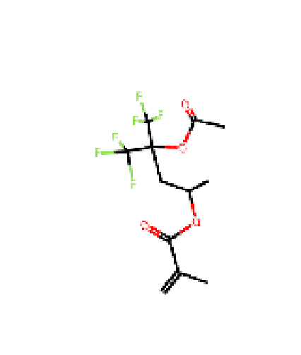 C=C(C)C(=O)OC(C)CC(OC(C)=O)(C(F)(F)F)C(F)(F)F